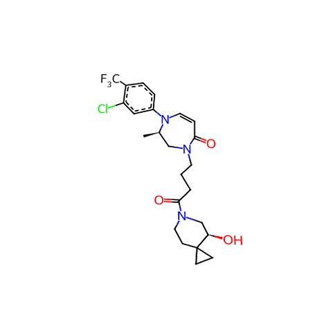 C[C@@H]1CN(CCCC(=O)N2CCC3(CC3)[C@H](O)C2)C(=O)C=CN1c1ccc(C(F)(F)F)c(Cl)c1